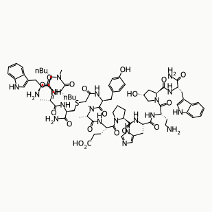 CCCC[C@@H](C(=O)N(C)[C@@H](CCCC)C(=O)N[C@@H](C)C(=O)N[C@@H](CSCC(=O)N[C@@H](Cc1ccc(O)cc1)C(=O)N(C)[C@@H](C)C(=O)N[C@@H](CCC(=O)O)C(=O)N1CCC[C@H]1C(=O)N[C@@H](Cc1cnc[nH]1)C(=O)N[C@@H](CCN)C(=O)N1C[C@H](O)C[C@H]1C(=O)N[C@@H](Cc1c[nH]c2ccccc12)C(N)=O)C(N)=O)N(C)C(=O)[C@@H](N)Cc1c[nH]c2ccccc12